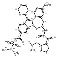 CCN(C)CC1CCCN1C(=O)C(=O)NC1Cc2cc(OC)ccc2-c2c(C3CCCCC3)c3ccc(C(=O)NS(=O)(=O)N(C)C)cc3n2C1